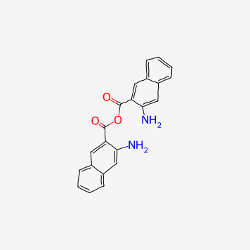 Nc1cc2ccccc2cc1C(=O)OC(=O)c1cc2ccccc2cc1N